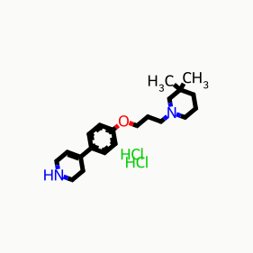 CC1(C)CCCN(CCCOc2ccc(C3=CCNCC3)cc2)C1.Cl.Cl